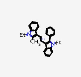 CCn1c(C)c(/C=C/c2c(-c3ccccc3)n(CC)c3ccccc23)c2ccccc21